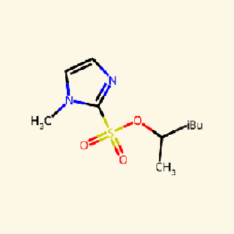 CCC(C)C(C)OS(=O)(=O)c1nccn1C